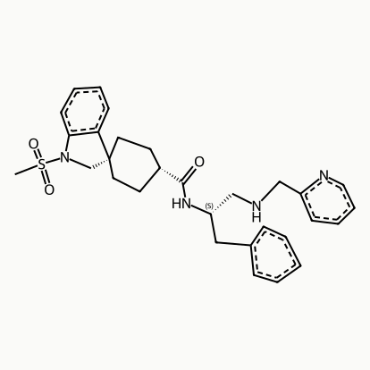 CS(=O)(=O)N1C[C@]2(CC[C@@H](C(=O)N[C@H](CNCc3ccccn3)Cc3ccccc3)CC2)c2ccccc21